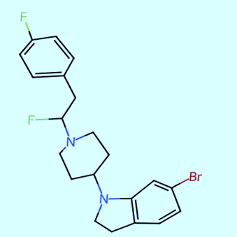 Fc1ccc(CC(F)N2CCC(N3CCc4ccc(Br)cc43)CC2)cc1